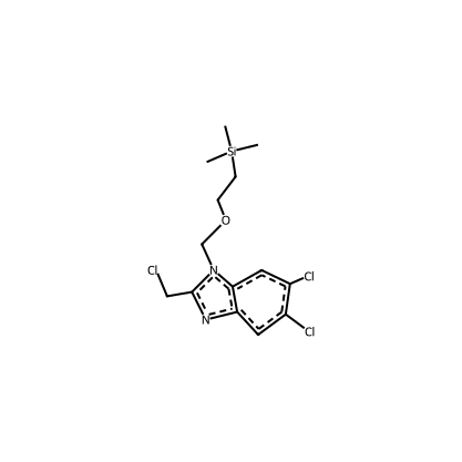 C[Si](C)(C)CCOCn1c(CCl)nc2cc(Cl)c(Cl)cc21